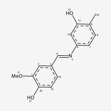 COc1cc(C=Nc2ccc(C)c(O)c2)ccc1O